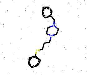 c1ccc(CN2CCN(CCCSc3ccccc3)CC2)cc1